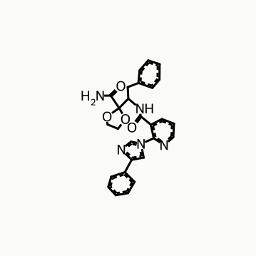 NC(=O)C1(C(Cc2ccccc2)NC(=O)c2cccnc2-n2cnc(-c3ccccc3)c2)OCCO1